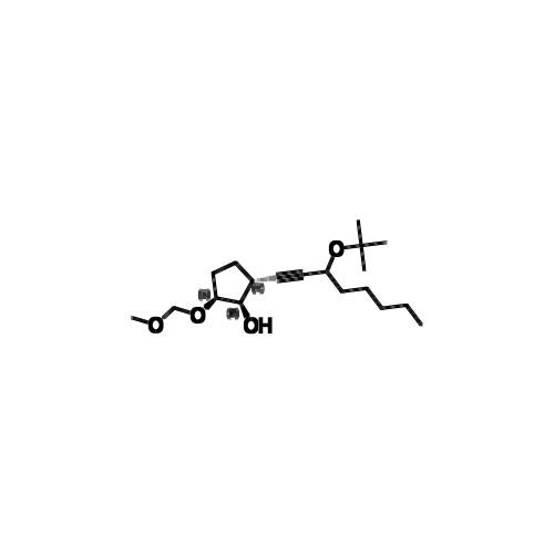 CCCCCC(C#C[C@H]1CC[C@H](OCOC)[C@@H]1O)OC(C)(C)C